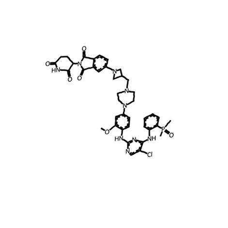 COc1cc(N2CCN(CC3CN(c4ccc5c(c4)C(=O)N(C4CCC(=O)NC4=O)C5=O)C3)CC2)ccc1Nc1ncc(Cl)c(Nc2ccccc2P(C)(C)=O)n1